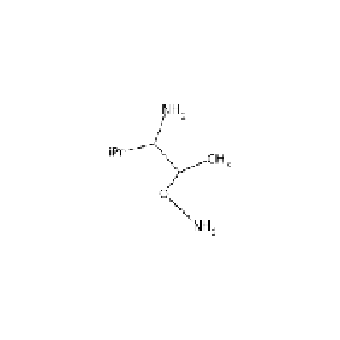 CC(C)C(N)C(C)ON